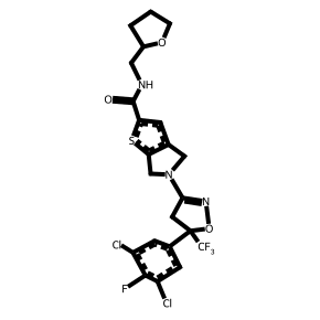 O=C(NCC1CCCO1)c1cc2c(s1)CN(C1=NOC(c3cc(Cl)c(F)c(Cl)c3)(C(F)(F)F)C1)C2